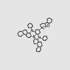 c1ccc(N2c3cc(-c4ccc5c(c4)oc4ccccc45)cc4c3B(c3ccc5c(ccc6ccccc65)c32)c2ccc3c(ccc5ccccc53)c2N4c2ccccc2)cc1